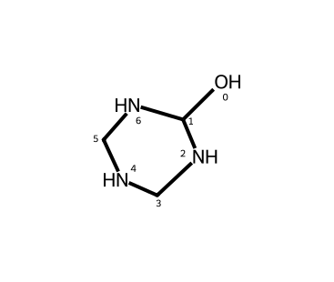 OC1NCNCN1